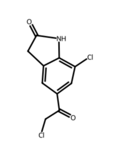 O=C1Cc2cc(C(=O)CCl)cc(Cl)c2N1